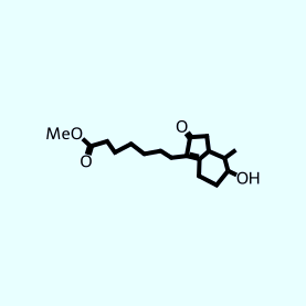 COC(=O)CCCCCCC1=C2CCC(O)C(C)C2CC1=O